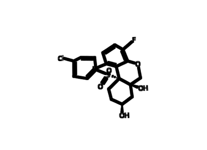 O=S(=O)(c1ccc(Cl)cc1)[C@@]12CC[C@H](O)C[C@@]1(O)COc1c(F)ccc(F)c12